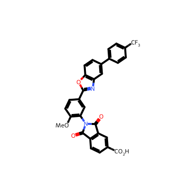 COc1ccc(-c2nc3cc(-c4ccc(C(F)(F)F)cc4)ccc3o2)cc1N1C(=O)c2ccc(C(=O)O)cc2C1=O